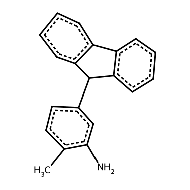 Cc1ccc(C2c3ccccc3-c3ccccc32)cc1N